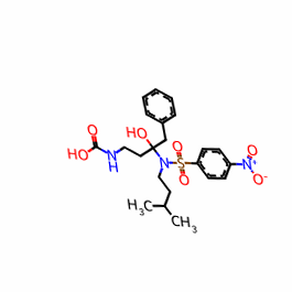 CC(C)CCN(C(O)(CCNC(=O)O)Cc1ccccc1)S(=O)(=O)c1ccc([N+](=O)[O-])cc1